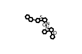 c1ccc2cc(-c3ccc4c(c3)sc3ccc5nc(-n6c7ccccc7c7c8c(ccc76)oc6ccccc68)oc5c34)ccc2c1